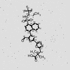 CC[C@H](NS(=O)(=O)c1ccc(-c2sc(-c3nnc(CC(C)(C)C(=O)O)o3)nc2C=O)c2ccccc12)C(F)(F)F